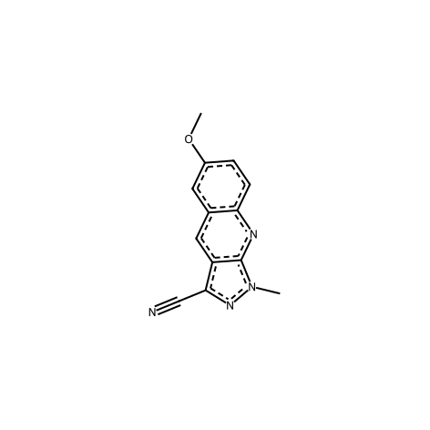 COc1ccc2nc3c(cc2c1)c(C#N)nn3C